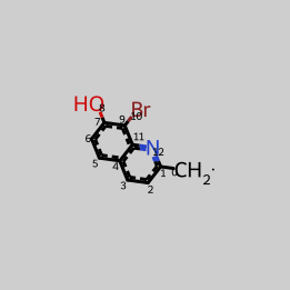 [CH2]c1ccc2ccc(O)c(Br)c2n1